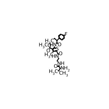 CCC(C(=O)Nc1sc(C(=O)NCCNC(=O)[C@@H](N)C(C)C)c(C)c1C(=O)OC)c1ccc(F)cc1